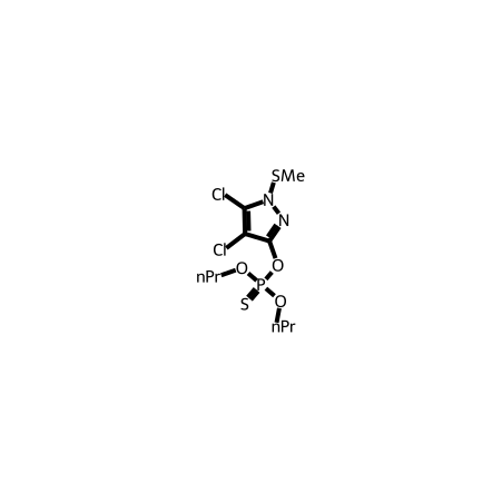 CCCOP(=S)(OCCC)Oc1nn(SC)c(Cl)c1Cl